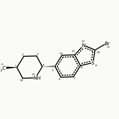 C[C@H]1CC[C@H](c2ccc3sc(Br)nc3c2)NC1